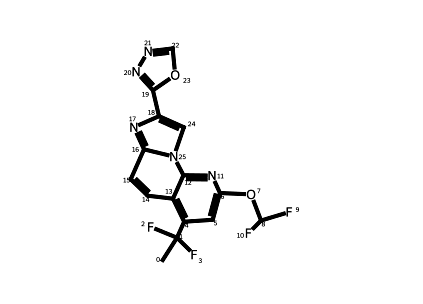 CC(F)(F)c1cc(OC(F)F)nc2c1ccc1nc(-c3nnco3)cn12